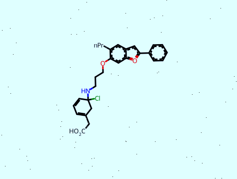 CCCc1cc2cc(-c3ccccc3)oc2cc1OCCCNC1(Cl)C=CC=C(CC(=O)O)C1